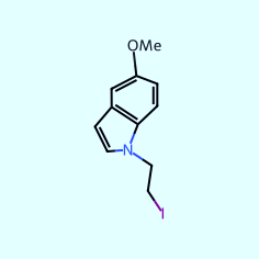 COc1ccc2c(ccn2CCI)c1